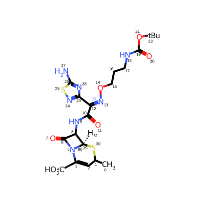 CC1C=C(C(=O)O)N2C(=O)C(NC(=O)/C(=N/OCCCNC(=O)OC(C)(C)C)c3nsc(N)n3)[C@H]2S1